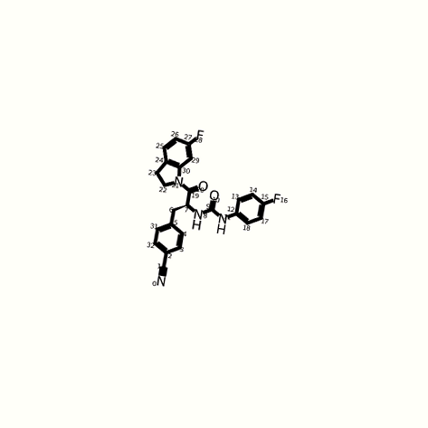 N#Cc1ccc(C[C@H](NC(=O)Nc2ccc(F)cc2)C(=O)N2CCc3ccc(F)cc32)cc1